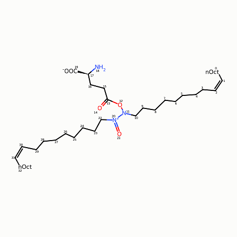 CCCCCCCC/C=C\CCCCCCCCN(OC(=O)CC[C@H](N)C(=O)[O-])[N+](=O)CCCCCCCC/C=C\CCCCCCCC